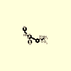 C[C@H](N)C(=O)Nc1cccc(C#Cc2cnc(NCCc3ccncc3)nc2N2CCOCC2)c1